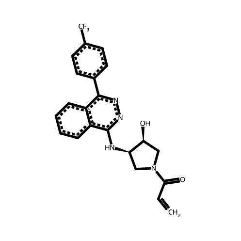 C=CC(=O)N1C[C@H](O)[C@H](Nc2nnc(-c3ccc(C(F)(F)F)cc3)c3ccccc23)C1